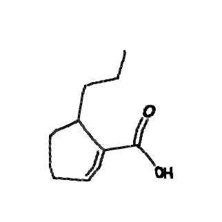 CCCC1CCC=C1C(=O)O